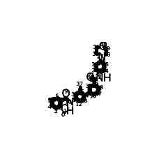 COc1ccccc1C(=O)Nc1ccc(-c2cccc(C(=O)Nc3ccc(N4CCOCC4)cc3)c2)c(C)c1